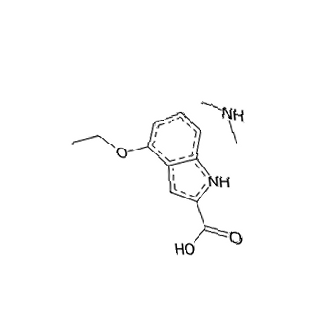 CCOc1cccc2[nH]c(C(=O)O)cc12.CNC